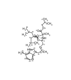 CC(C)COC(=O)C(C)(C)NP(CO[C@H](C)CN1CNc2c(N)ncnc21)ON=C(CC(C)C)CC(C)C